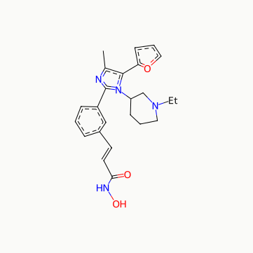 CCN1CCCC(n2c(-c3cccc(C=CC(=O)NO)c3)nc(C)c2-c2ccco2)C1